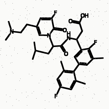 Cc1cc(-c2c(C)cc(F)cc2C)cc(C(CC(=O)O)NC(=O)C(CC(C)C)n2cc(CCN(C)C)cc(F)c2=O)c1F